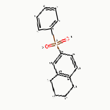 O=S(=O)(c1ccccc1)c1ccc2c(c1)CCCC2